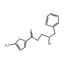 Cc1ccc(C(=O)CCN(Cc2ccccc2)C(C)C)s1